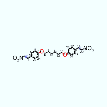 O=[N+]([O-])/C=C/c1ccc(OCCCCCCOc2ccc(/C=C/[N+](=O)[O-])cc2)cc1